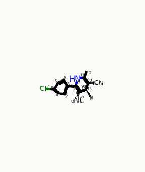 [C-]#[N+]C1=C(c2ccc(Cl)cc2)NC(C)=C(C#N)[C@H]1C